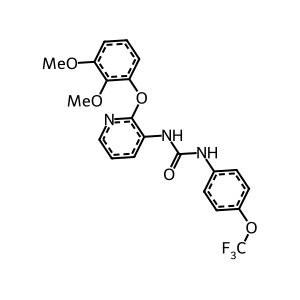 COc1cccc(Oc2ncccc2NC(=O)Nc2ccc(OC(F)(F)F)cc2)c1OC